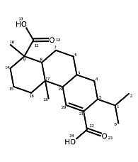 CC(C)C1CC2CCC3C(C)(C(=O)O)CCCC3(C)C2C=C1C(=O)O